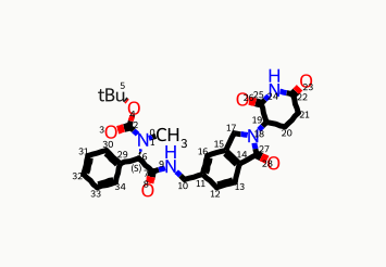 CN(C(=O)OC(C)(C)C)[C@H](C(=O)NCc1ccc2c(c1)CN(C1CCC(=O)NC1=O)C2=O)c1ccccc1